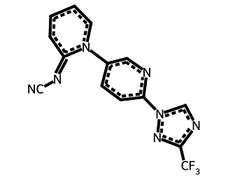 N#CN=c1ccccn1-c1ccc(-n2cnc(C(F)(F)F)n2)nc1